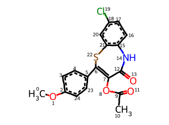 COc1ccc(C2=C(OC(C)=O)C(=O)Nc3ccc(Cl)cc3S2)cc1